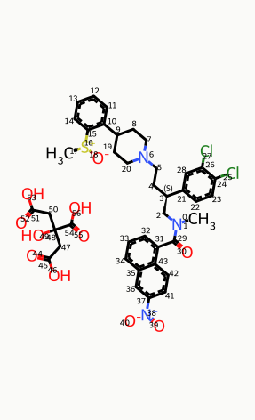 CN(C[C@@H](CCN1CCC(c2ccccc2[S+](C)[O-])CC1)c1ccc(Cl)c(Cl)c1)C(=O)c1cccc2cc([N+](=O)[O-])ccc12.O=C(O)CC(O)(CC(=O)O)C(=O)O